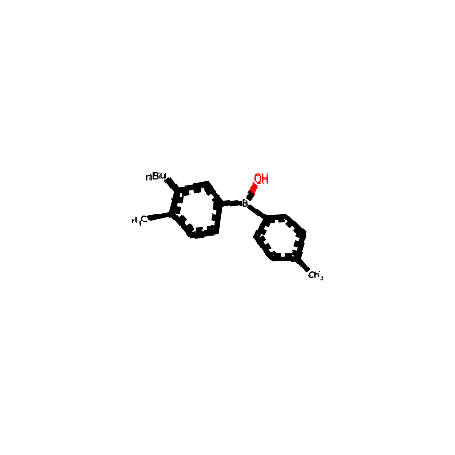 CCCCc1cc(B(O)c2ccc(C)cc2)ccc1C